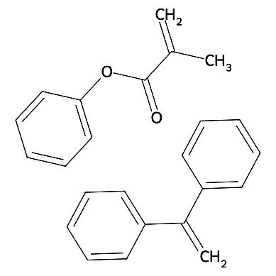 C=C(C)C(=O)Oc1ccccc1.C=C(c1ccccc1)c1ccccc1